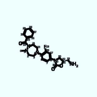 CN1CCN(c2ccc(N3C[C@H](CN)OC3=O)cc2F)CCN1C(=O)c1ccccc1